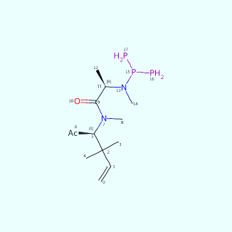 C=CC(C)(C)[C@@H](C(C)=O)N(C)C(=O)[C@@H](C)N(C)P(P)P